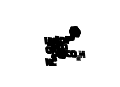 CC1=C(C(=O)OCC=Cc2ccccc2)C(c2cccc(C(=O)O)c2)C(C(=O)OCCC#N)=C(C)N1